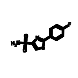 NS(=O)(=O)c1csc(-c2ccc(F)cc2)n1